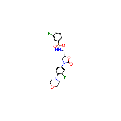 O=C1O[C@@H](CNS(=O)(=O)c2cccc(F)c2)CN1c1ccc(N2CCOCC2)c(F)c1